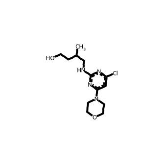 CC(CCO)CNc1nc(Cl)cc(N2CCOCC2)n1